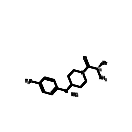 CC(C)[C@H](N)C(=O)N1CCC(Oc2ccc(C(F)(F)F)cc2)CC1.Cl